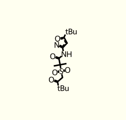 CC(C)(C)C(=O)CS(=O)(=O)C(C)(C)C(=O)Nc1cc(C(C)(C)C)on1